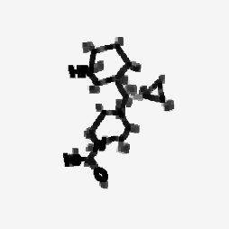 O=C(O)N1CCN([C@@H](C2CC2)C2CCCNC2)CC1